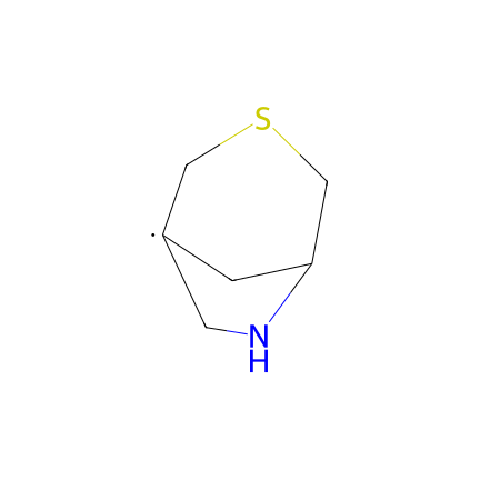 C1NC2CSC[C]1C2